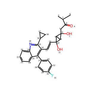 CC(C)C(=O)CC1(O)C2C1C2(O)/C=C/c1c(C2CC2)nc2ccccc2c1-c1ccc(F)cc1